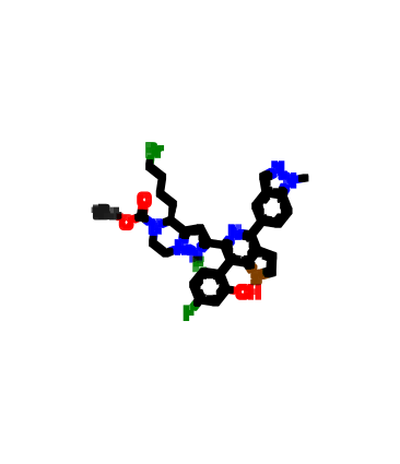 Cn1ncc2cc(-c3nc(-c4cc5n(n4)CCN(C(=O)OC(C)(C)C)[C@H]5CCCCBr)c(-c4c(O)cc(F)cc4F)c4sccc34)ccc21